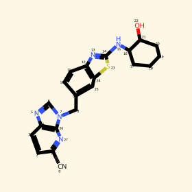 N#Cc1ccc2ncn(Cc3ccc4nc(NC5CCCCC5O)sc4c3)c2n1